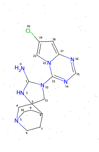 NC1NC2(CN3CCC2CC3)CN1c1ncnc2cc(Cl)cn12